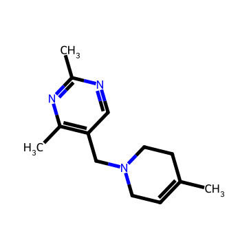 CC1=CCN(Cc2cnc(C)nc2C)CC1